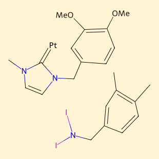 COc1ccc(Cn2ccn(C)[c]2=[Pt])cc1OC.Cc1ccc(CN(I)I)cc1C